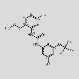 O=C(Nc1cc(Cl)cc(OC(F)(F)F)c1)Nc1cc(F)ccc1CCO